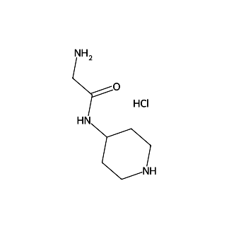 Cl.NCC(=O)NC1CCNCC1